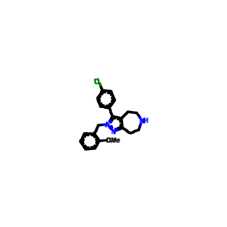 COc1ccccc1Cn1nc2c(c1-c1ccc(Cl)cc1)CCNCC2